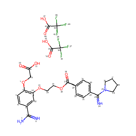 N=C(N)c1ccc(OCC(=O)O)c(OCCOC(=O)c2ccc(C(=N)N3CCCC3)cc2)c1.O=C(O)C(F)(F)F.O=C(O)C(F)(F)F